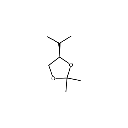 CC(C)[C@@H]1COC(C)(C)O1